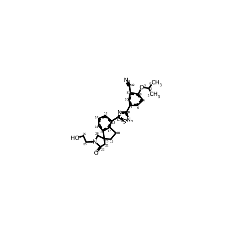 CC(C)Oc1ccc(-c2nsc(-c3cccc4c3CCC43CC(=O)N(CCO)C3)n2)cc1C#N